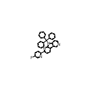 Fc1ccc(-c2ccc3c4cnccc4n(C(c4ccccc4)(c4ccccc4)c4ccccc4)c3n2)nc1